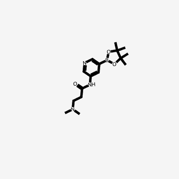 CN(C)CCC(=O)Nc1cncc(B2OC(C)(C)C(C)(C)O2)c1